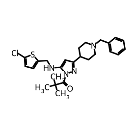 CC(C)(C)C(=O)n1nc(C2CCN(Cc3ccccc3)CC2)cc1NCc1ccc(Cl)s1